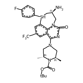 C[C@@H]1CN(c2nc(=O)n3c4c(cc(C(F)(F)F)cc24)[SH](c2ccc(F)cc2)C[C@@H](N)C3)C[C@@H](C)N1C(=O)OC(C)(C)C